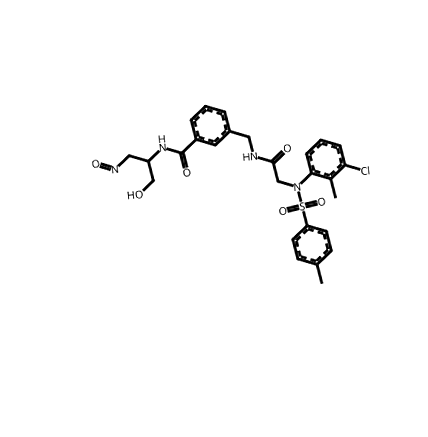 Cc1ccc(S(=O)(=O)N(CC(=O)NCc2cccc(C(=O)NC(CO)CN=O)c2)c2cccc(Cl)c2C)cc1